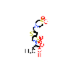 CCC(C(=O)O)N1Cc2sc(CN3CCS(=O)(=O)CC3)cc2S1(=O)=O